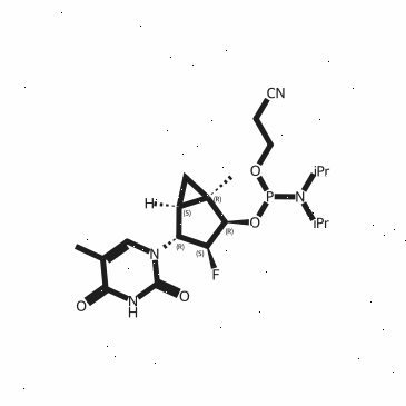 Cc1cn([C@H]2[C@H](F)[C@H](OP(OCCC#N)N(C(C)C)C(C)C)[C@]3(C)C[C@H]23)c(=O)[nH]c1=O